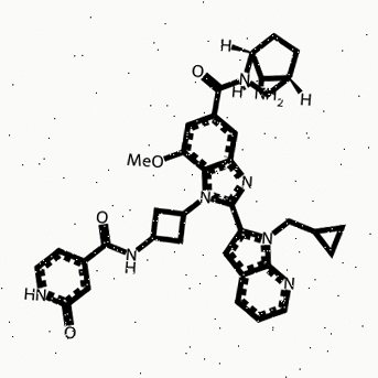 COc1cc(C(=O)N2C[C@H]3CC[C@@H]2[C@@H]3N)cc2nc(-c3cc4cccnc4n3CC3CC3)n(C3CC(NC(=O)c4cc[nH]c(=O)c4)C3)c12